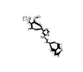 CCOc1cc(-c2cc(NCCc3ccc4sccc4c3)ncn2)cc(F)c1CC(=O)O